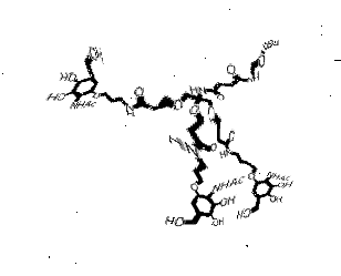 CC(=O)NC1[C@@H](O)[C@@H](O)C(CO)C[C@H]1OCCCNC(=O)CCOCC(COCCC(=O)NCCCO[C@@H]1CC(CO)[C@H](O)[C@H](O)C1NC(C)=O)(NC(=O)CCC(=O)NCOC(C)(C)C)OCCC(=O)NCCCO[C@@H]1CC(CO)[C@H](O)[C@H](O)C1NC(C)=O